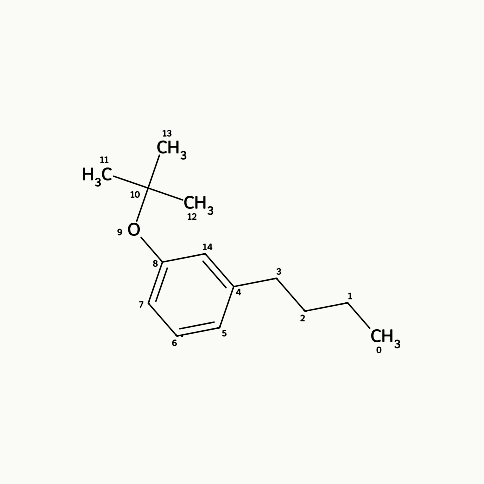 CCCCc1c[c]cc(OC(C)(C)C)c1